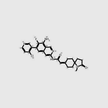 CN1C(=O)CCC12CCC(=CC(=O)Nc1cc3cc(-c4cnccc4Cl)c(F)c(N)c3cn1)CC2